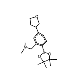 CN(C)Cc1cc(C2CCOC2)ccc1B1OC(C)(C)C(C)(C)O1